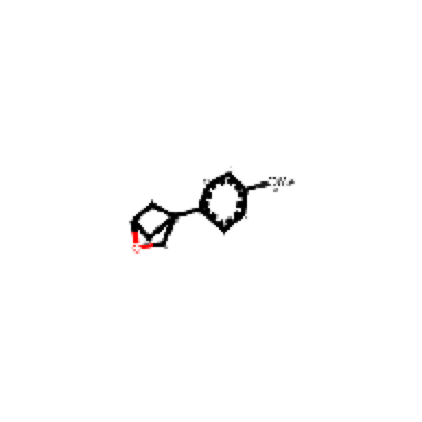 COc1ccc(C23COC(C2)C3)cc1